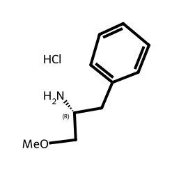 COC[C@H](N)Cc1ccccc1.Cl